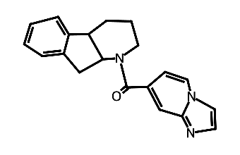 O=C(c1ccn2ccnc2c1)N1CCCC2c3ccccc3CC21